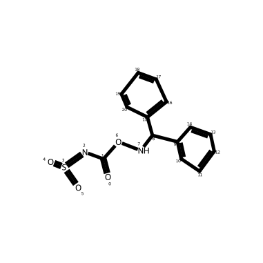 O=C(N=S(=O)=O)ONC(c1ccccc1)c1ccccc1